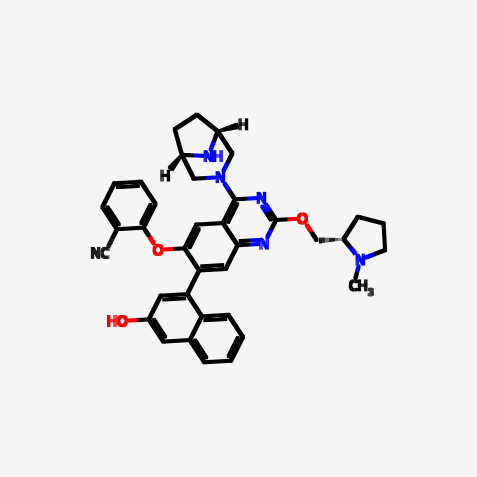 CN1CCC[C@H]1COc1nc(N2C[C@H]3CC[C@@H](C2)N3)c2cc(Oc3ccccc3C#N)c(-c3cc(O)cc4ccccc34)cc2n1